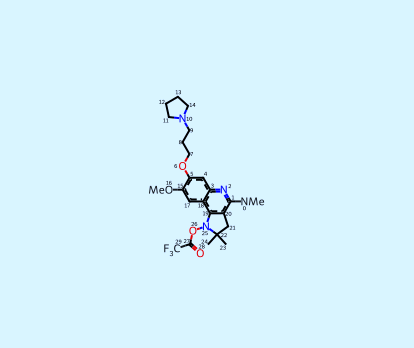 CNc1nc2cc(OCCCN3CCCC3)c(OC)cc2c2c1CC(C)(C)N2OC(=O)C(F)(F)F